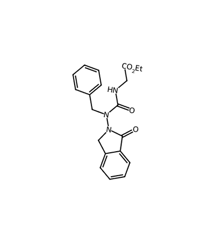 CCOC(=O)CNC(=O)N(Cc1ccccc1)N1Cc2ccccc2C1=O